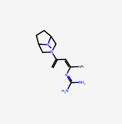 C=C(/C=C(/CCC)N=C(N)N)N1CC2CCC(C1)N2C